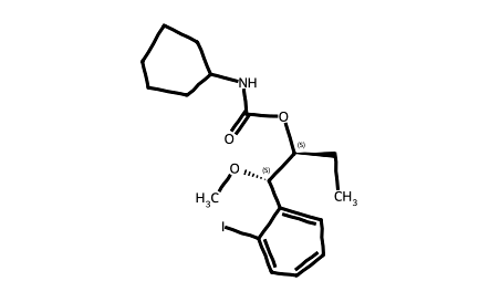 CC[C@H](OC(=O)NC1CCCCC1)[C@@H](OC)c1ccccc1I